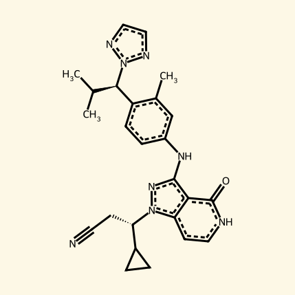 Cc1cc(Nc2nn([C@@H](CC#N)C3CC3)c3cc[nH]c(=O)c23)ccc1[C@@H](C(C)C)n1nccn1